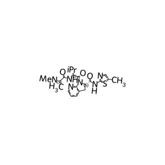 CN[C@@H](C)C(=O)N[C@H](C(=O)N1c2ncccc2C[C@H]1C(=O)Nc1ncc(C)s1)C(C)C